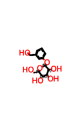 OCc1cccc(O[C@H]2O[C@H](CO)[C@@H](O)[C@H](O)[C@H]2O)c1